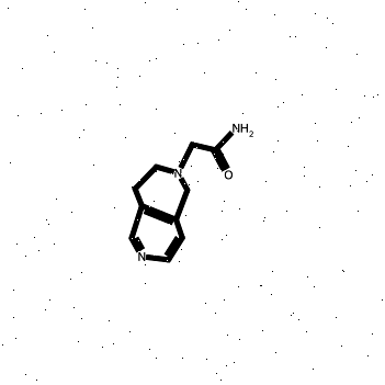 NC(=O)CN1CCc2cnccc2C1